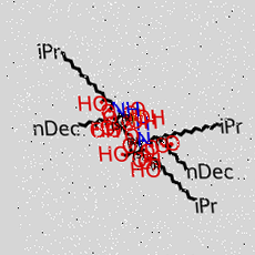 CCCCCCCCCCCCCCCC(=O)O[C@H](CCCCCCCCCCCC(C)C)CC(=O)NC1C(OC(=O)C[C@H](O)CCCCCCCCCC(C)C)[C@H](O)C(CO)O[C@H]1OCC1O[C@H](OP(=O)(O)O)C(NC(=O)CC(O)CCCCCCCCCCCC(C)C)C(OC(=O)CC(O)CCCCCCCCCCCCC)[C@@H]1O